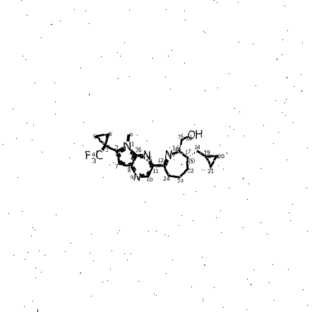 Cn1c(C2(C(F)(F)F)CC2)cc2ncc(C3=N[C@@H](CO)[C@H](CC4CC4)CCC3)nc21